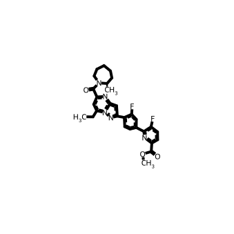 CCc1cc(C(=O)N2CCCCC[C@H]2C)nc2cc(-c3ccc(-c4nc(C(=O)OC)ccc4F)cc3F)nn12